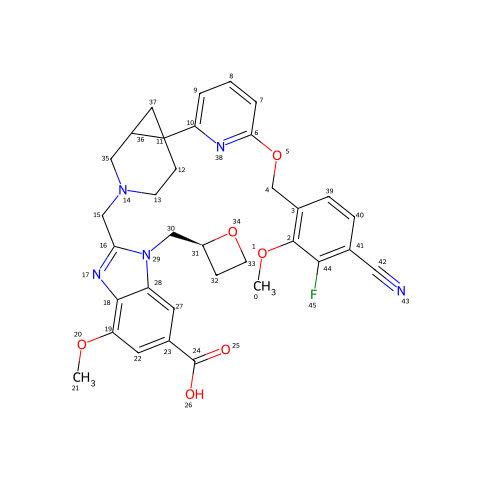 COc1c(COc2cccc(C34CCN(Cc5nc6c(OC)cc(C(=O)O)cc6n5C[C@@H]5CCO5)CC3C4)n2)ccc(C#N)c1F